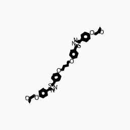 c1cc(-c2nnc(-c3ccc(OCC4CO4)cc3)s2)ccc1OCCCCOc1ccc(-c2nnc(-c3ccc(OCC4CO4)cc3)s2)cc1